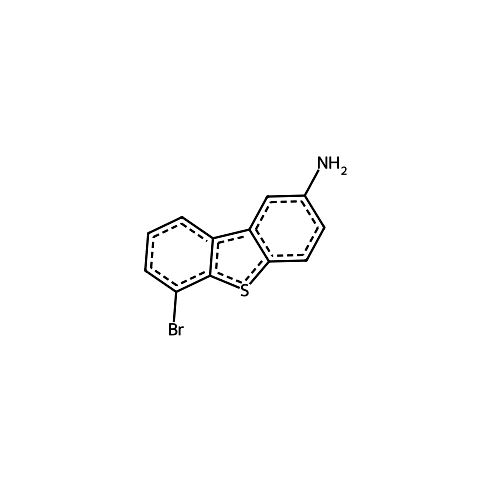 Nc1ccc2sc3c(Br)cccc3c2c1